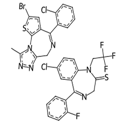 Cc1nnc2n1-c1sc(Br)cc1C(c1ccccc1Cl)=NC2.Fc1ccccc1C1=NCC(=S)N(CC(F)(F)F)c2ccc(Cl)cc21